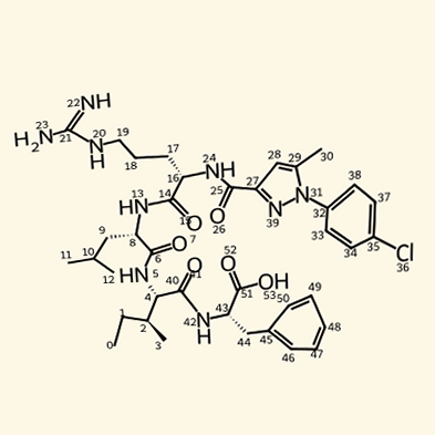 CC[C@H](C)[C@H](NC(=O)[C@H](CC(C)C)NC(=O)[C@H](CCCNC(=N)N)NC(=O)c1cc(C)n(-c2ccc(Cl)cc2)n1)C(=O)N[C@@H](Cc1ccccc1)C(=O)O